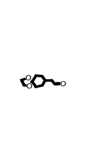 O=CCC1CCC2(CC1)OCCO2